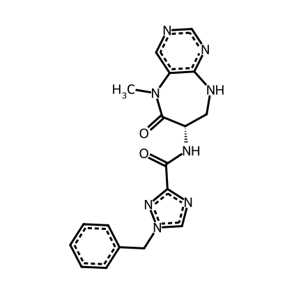 CN1C(=O)[C@@H](NC(=O)c2ncn(Cc3ccccc3)n2)CNc2ncncc21